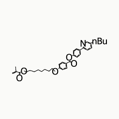 C=C(C)C(=O)OCCCCCCCCOc1ccc(C(=O)Oc2ccc(-c3ccc(CCCC)cn3)cc2)cc1